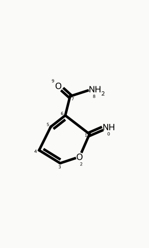 N=c1occcc1C(N)=O